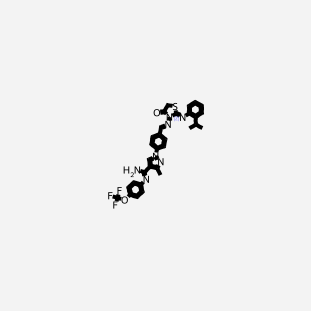 Cc1nn(-c2ccc(C=NN3C(=O)CS/C3=N\c3ccccc3C(C)C)cc2)cc1C(N)=Nc1ccc(OC(F)(F)F)cc1